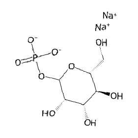 O=P([O-])([O-])OC1O[C@H](CO)[C@@H](O)[C@H](O)[C@@H]1O.[Na+].[Na+]